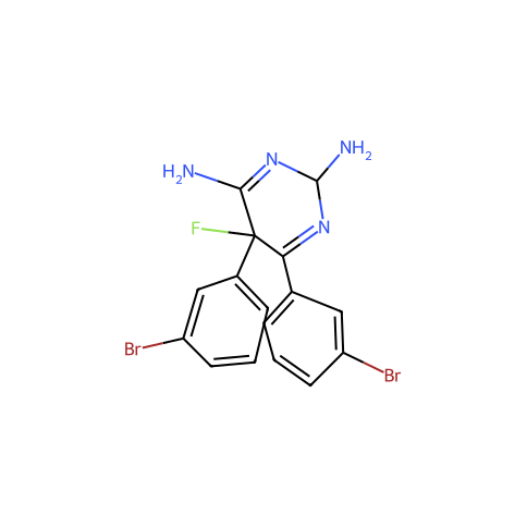 NC1=NC(N)N=C(c2cccc(Br)c2)C1(F)c1cccc(Br)c1